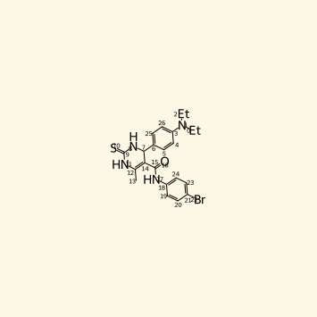 CCN(CC)c1ccc(C2NC(=S)NC(C)=C2C(=O)Nc2ccc(Br)cc2)cc1